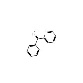 CCCCCCN=C(c1ccccc1)c1ccccn1